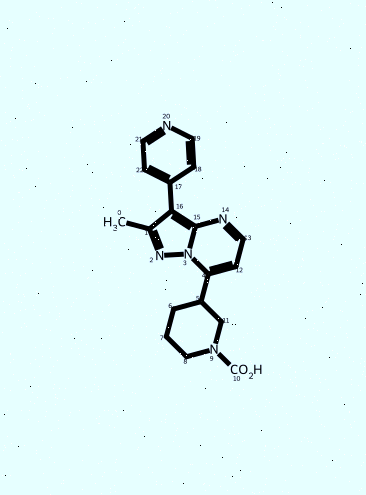 Cc1nn2c(C3CCCN(C(=O)O)C3)ccnc2c1-c1ccncc1